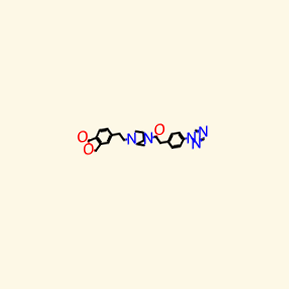 O=C1OCc2cc(CCN3CC4CC3CN4C(=O)Cc3ccc(-n4cncn4)cc3)ccc21